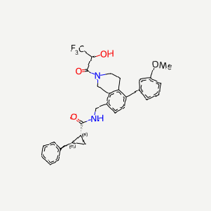 COc1cccc(-c2ccc(CNC(=O)[C@@H]3C[C@H]3c3ccccc3)c3c2CCN(C(=O)C(O)C(F)(F)F)C3)c1